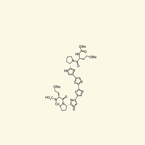 COCC[C@H](NC(=O)OC)C(=O)N1CCC[C@H]1c1nc(-c2cnc(-c3ncc(-c4c[nH]c([C@@H]5CCCN5C(=O)[C@H](CCOC)N(C)C(=O)O)n4)s3)s2)c[nH]1